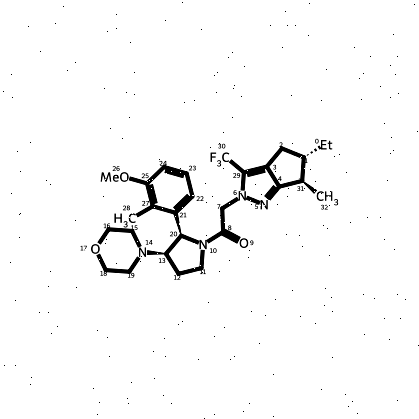 CC[C@H]1Cc2c(nn(CC(=O)N3CC[C@@H](N4CCOCC4)[C@H]3c3cccc(OC)c3C)c2C(F)(F)F)[C@@H]1C